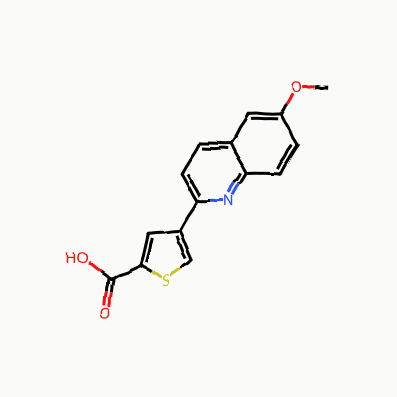 COc1ccc2nc(-c3csc(C(=O)O)c3)ccc2c1